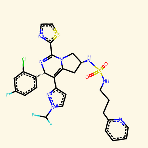 O=S(=O)(NCCCc1ccccn1)N[C@H]1CC2=C(c3ccn(C(F)F)n3)[C@H](c3ccc(F)cc3Cl)N=C(c3nccs3)N2C1